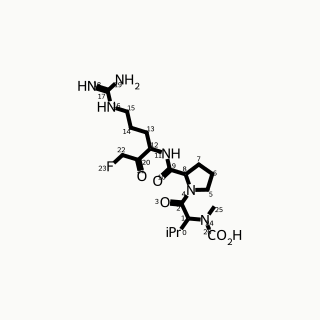 CC(C)C(C(=O)N1CCCC1C(=O)NC(CCCNC(=N)N)C(=O)CF)N(C)C(=O)O